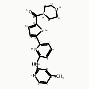 Cc1ccnc(Nc2cccc(-c3ccc(C(=O)N4CCOCC4)s3)n2)c1